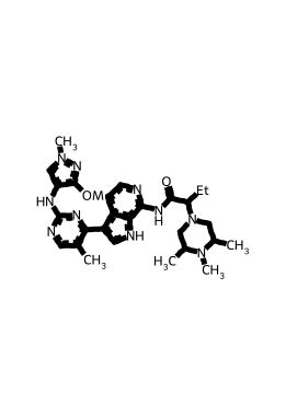 CCC(C(=O)Nc1nccc2c(-c3nc(Nc4cn(C)nc4OC)ncc3C)c[nH]c12)N1CC(C)N(C)C(C)C1